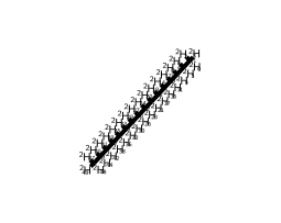 [2H]C([2H])([2H])C([2H])([2H])C([2H])([2H])C([2H])([2H])C([2H])([2H])C([2H])([2H])C([2H])([2H])C([2H])([2H])C([2H])([2H])C([2H])([2H])C([2H])([2H])C([2H])([2H])C([2H])([2H])C([2H])([2H])C([2H])([2H])C([2H])([2H])[2H]